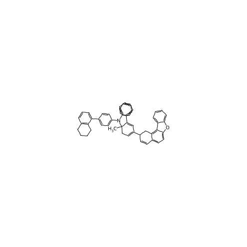 CC1(N(c2ccccc2)c2ccc(-c3cccc4c3CCCC4)cc2)CC=C(C2C=Cc3ccc4oc5ccccc5c4c3C2)C=C1c1ccccc1